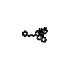 C1=CC2=CCC3=C4[C@H](CCC3CCCc3ccccc3)[C@H]3CN=CC=C3N4C2CC1